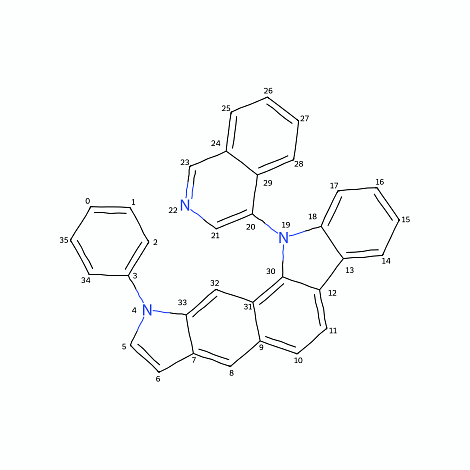 c1ccc(-n2ccc3cc4ccc5c6ccccc6n(-c6cncc7ccccc67)c5c4cc32)cc1